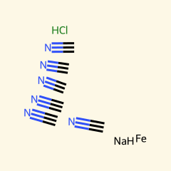 C#N.C#N.C#N.C#N.C#N.C#N.Cl.[Fe].[NaH]